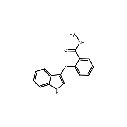 CNC(=O)c1ccccc1Sc1c[nH]c2ccccc12